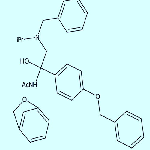 CC(=O)NC(O)(CN(Cc1ccccc1)C(C)C)c1ccc(OCc2ccccc2)cc1.c1cc2cc(c1)OC2